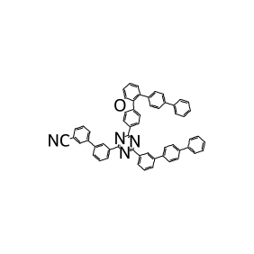 N#Cc1cccc(-c2cccc(-c3nc(-c4cccc(-c5ccc(-c6ccccc6)cc5)c4)nc(-c4ccc5c(c4)oc4cccc(-c6ccc(-c7ccccc7)cc6)c45)n3)c2)c1